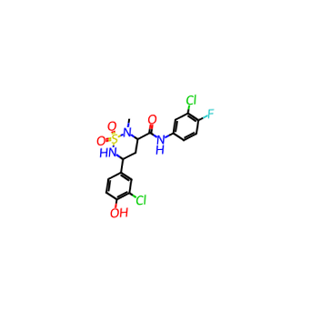 CN1C(C(=O)Nc2ccc(F)c(Cl)c2)CC(c2ccc(O)c(Cl)c2)NS1(=O)=O